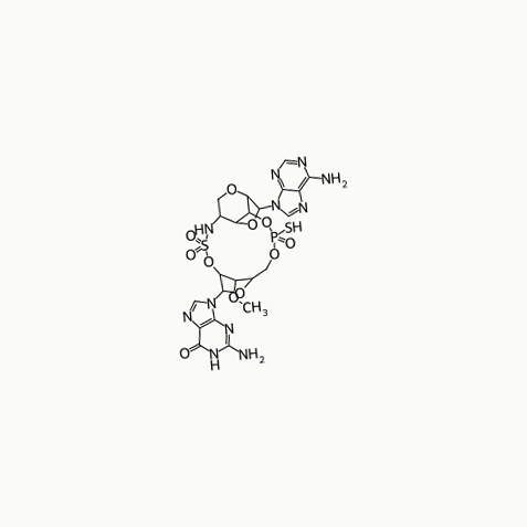 COC1C2COP(=O)(S)OC3C4OC(n5cnc6c(N)ncnc65)C3OCC4NS(=O)(=O)OC1C(n1cnc3c(=O)[nH]c(N)nc31)O2